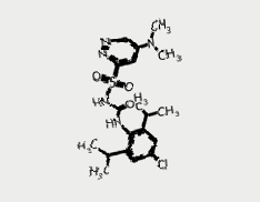 CC(C)c1cc(Cl)cc(C(C)C)c1NC(=O)NS(=O)(=O)c1cc(N(C)C)cnn1